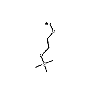 CCC(C)OCCO[Si](C)(C)C